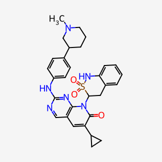 CN1CCCC(c2ccc(Nc3ncc4cc(C5CC5)c(=O)n(C5Cc6ccccc6NS5(=O)=O)c4n3)cc2)C1